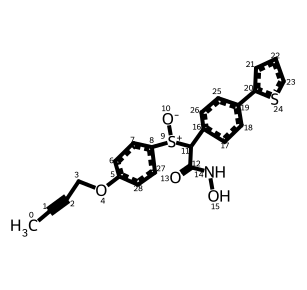 CC#CCOc1ccc([S+]([O-])C(C(=O)NO)c2ccc(-c3cccs3)cc2)cc1